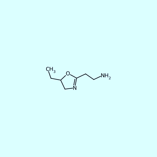 CCC1CN=C(CCN)O1